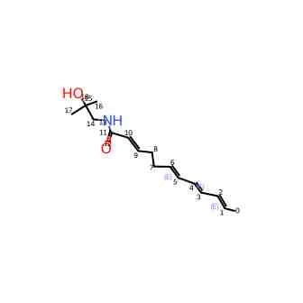 C/C=C/C=C/C=C/CCC=CC(=O)NCC(C)(C)O